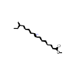 CCC(C)CCCC/C=C/CCCCCCC(=O)OC